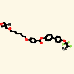 CCC1(COCCCCCCOc2ccc(C(=O)Oc3ccc(-c4ccc(OC(F)(F)C(F)C(F)(F)F)cc4)cc3)cc2)COC1